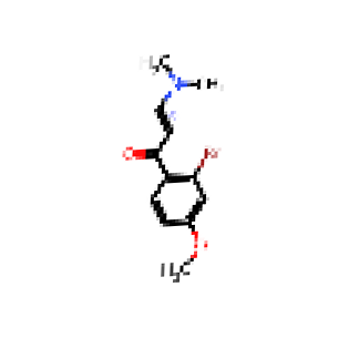 COc1ccc(C(=O)/C=C/N(C)C)c(Br)c1